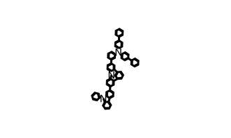 c1ccc(-c2ccc(N(c3ccc(-c4ccccc4)cc3)c3cccc(-c4ccc5c(c4)c4cccc6c7cc(-c8ccc9c%10ccccc%10n(-c%10ccccc%10)c9c8)ccc7n5c46)c3)cc2)cc1